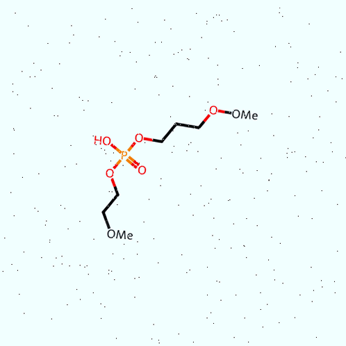 COCCOP(=O)(O)OCCCOOC